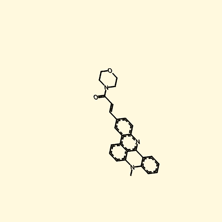 CN1c2ccccc2-c2nc3ccc(/C=C/C(=O)N4CCOCC4)cc3c3cccc1c23